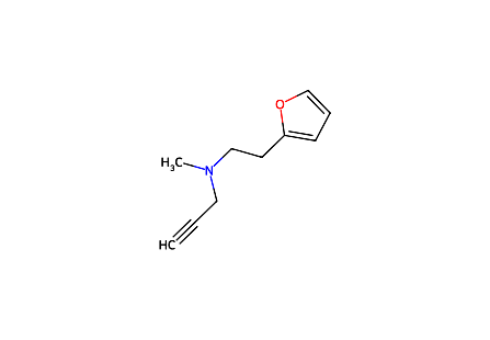 C#CCN(C)CCc1ccco1